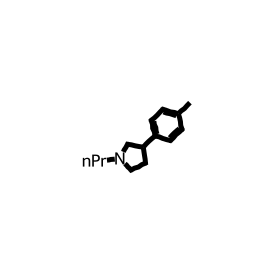 CCCN1CCC(c2ccc(C)cc2)C1